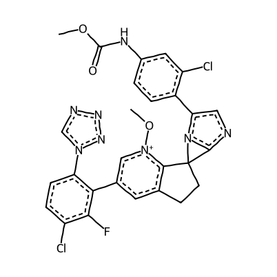 COC(=O)Nc1ccc(-c2cnc3n2C32CCc3cc(-c4c(-n5cnnn5)ccc(Cl)c4F)c[n+](OC)c32)c(Cl)c1